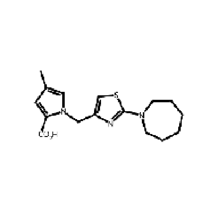 Cc1cc(C(=O)O)n(Cc2csc(N3CCCCCC3)n2)c1